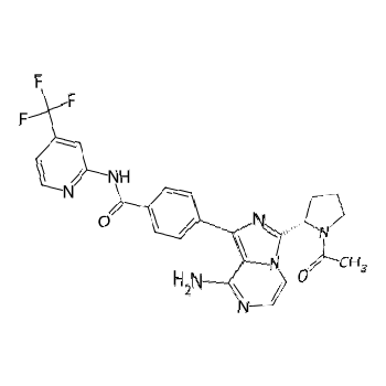 CC(=O)N1CCC[C@H]1c1nc(-c2ccc(C(=O)Nc3cc(C(F)(F)F)ccn3)cc2)c2c(N)nccn12